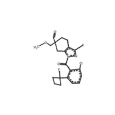 COCC1(C=O)CCc2c(I)nn(C(=O)c3c(Cl)cccc3C3(F)CCC3)c2C1